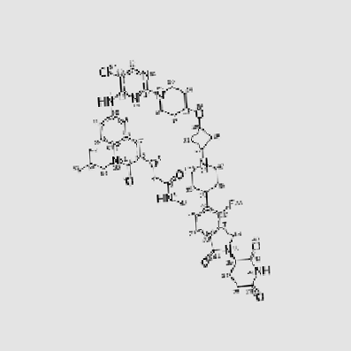 CNC(=O)COc1cc2cc(Nc3nc(N4CCC(OC5CC(N6CCC(c7ccc8c(c7F)CN([C@@H]7CCC(=O)NC7=O)C8=O)CC6)C5)CC4)ncc3Cl)ccc2n(CC(C)C)c1=O